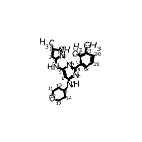 Cc1cc(Nc2cc(NC3CCOCC3)nc(-c3cccc(C)c3C)n2)n[nH]1